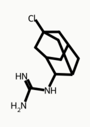 N=C(N)NC1C2CC3CC1CC(Cl)(C3)C2